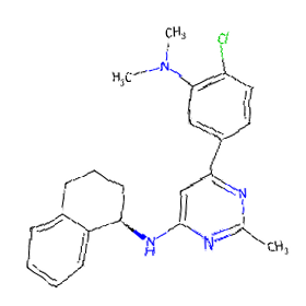 Cc1nc(N[C@@H]2CCCc3ccccc32)cc(-c2ccc(Cl)c(N(C)C)c2)n1